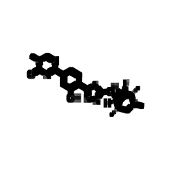 CN1C[C@@]2(C)CC[C@]1(C)[C@@H](F)[C@@H]2Oc1nnc(-c2ccc(-c3ncn(C)c(=O)n3)cc2O)s1